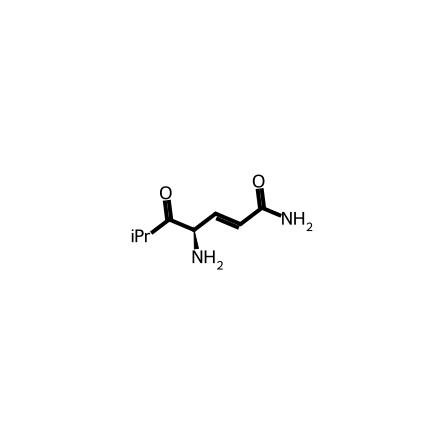 CC(C)C(=O)[C@H](N)/C=C/C(N)=O